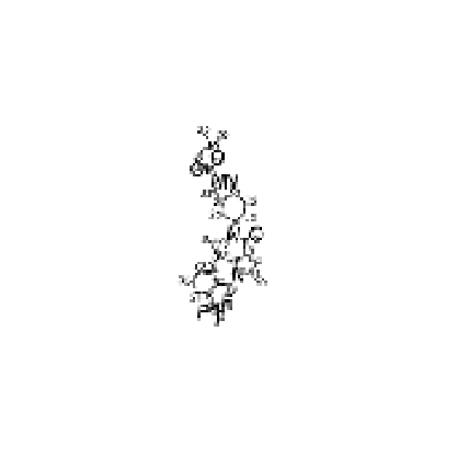 Cc1cc(C(=O)N(C2CC2)C2CCc3nn(C(=O)OC(C)(C)C)cc3C2)c(C)n1Cc1ccccc1C(F)(F)F